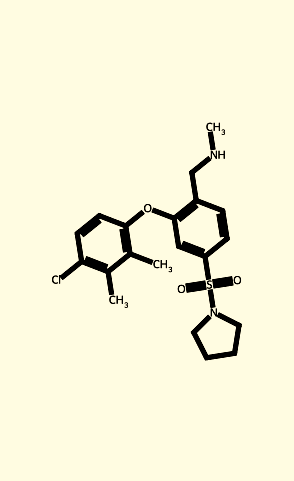 CNCc1ccc(S(=O)(=O)N2CCCC2)cc1Oc1ccc(Cl)c(C)c1C